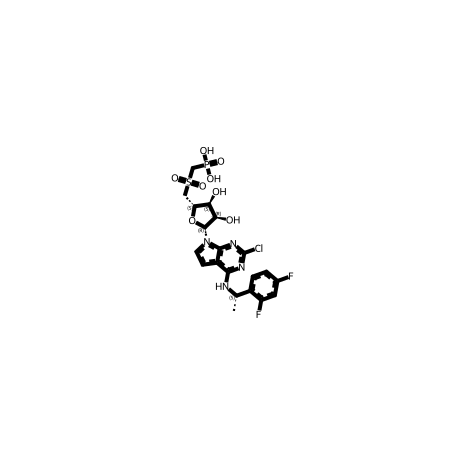 C[C@H](Nc1nc(Cl)nc2c1ccn2[C@@H]1O[C@H](CS(=O)(=O)CP(=O)(O)O)[C@@H](O)[C@H]1O)c1ccc(F)cc1F